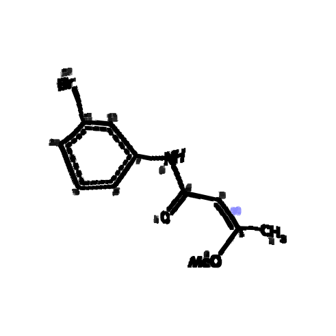 CO/C(C)=C\C(=O)Nc1cccc(Br)c1